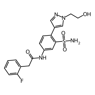 NS(=O)(=O)c1cc(NC(=O)Cc2ccccc2F)ccc1-c1cnn(CCO)c1